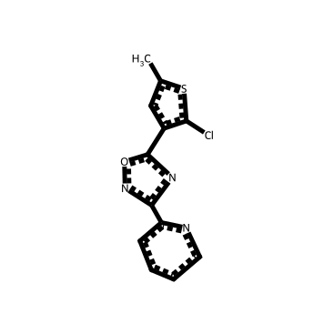 Cc1cc(-c2nc(-c3ccccn3)no2)c(Cl)s1